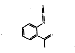 CC(=O)c1ccccc1N=[N+]=[N-]